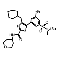 CN(C(C)(C)C)S(=O)(=O)c1cc(-c2sc(C(=O)NC3CCOCC3)nc2CC2CCCCC2)cc(C(C)(C)C)c1